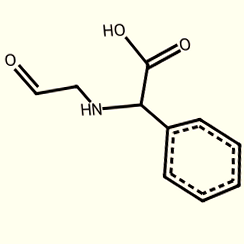 O=CCNC(C(=O)O)c1ccccc1